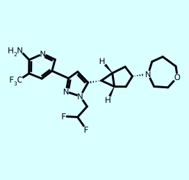 Nc1ncc(-c2cc([C@@H]3[C@@H]4C[C@H](N5CCCOCC5)C[C@@H]43)n(CC(F)F)n2)cc1C(F)(F)F